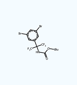 CC(C)(C)OC(=O)NC(c1cc(Br)cc(Br)c1)(C(F)(F)F)C(F)(F)F